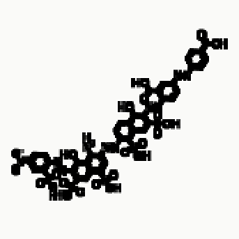 Nc1c(N=Nc2ccc3c(O)c(N=Nc4ccc(N=Nc5ccc(C(=O)O)cc5)cc4C(=O)O)c(S(=O)(=O)O)cc3c2S(=O)(=O)O)cc(S(=O)(=O)O)c2cc(S(=O)(=O)O)c(N=Nc3ccc([N+](=O)[O-])cc3S(=O)(=O)O)c(O)c12